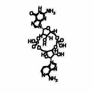 Nc1nc2c(ncn2[C@@H]2O[C@@H]3COP(=O)(O)O[C@H]4[C@@H](O)[C@H](n5cnc6c(N)nccc65)O[C@@H]4COP(=O)(O)O[C@@H]2[C@@H]3O)c(=O)[nH]1